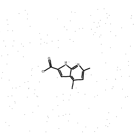 Cc1cc(C)c2cc(C(=O)Cl)[nH]c2n1